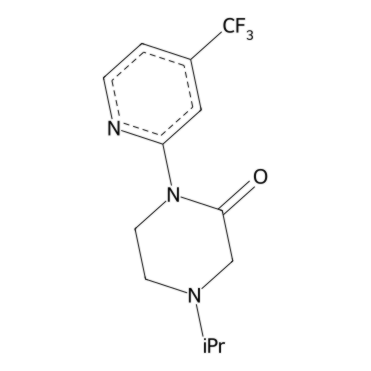 CC(C)N1CCN(c2cc(C(F)(F)F)ccn2)C(=O)C1